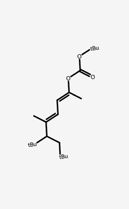 C/C(=C\C=C(/C)C(CC(C)(C)C)C(C)(C)C)OC(=O)OC(C)(C)C